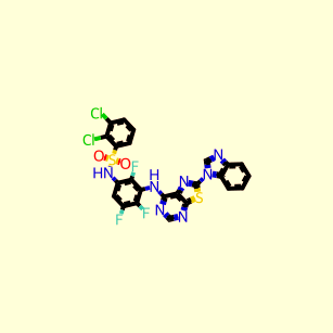 O=S(=O)(Nc1cc(F)c(F)c(Nc2ncnc3sc(-n4cnc5ccccc54)nc23)c1F)c1cccc(Cl)c1Cl